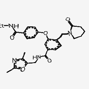 CCNC(=O)c1ccc(Oc2cc(C(=O)NCc3oc(C)nc3C)ccc2CN2CCCCC2=O)cc1